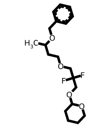 CC(CCOCC(F)(F)COC1CCCCO1)OCc1ccccc1